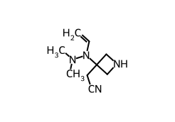 C=CN(N(C)C)C1(CC#N)CNC1